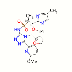 COc1cccc(-c2nnc(NS(=O)(=O)[C@@H](C)[C@@H](OC(C)C)c3ncc(C)cn3)n2C[C@@H]2CCCO2)n1